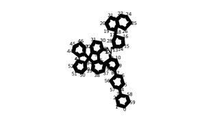 c1ccc(-c2ccc(-c3ccc(N(c4cccc(-c5cccc6ccccc56)c4)c4cccc5c4-c4ccccc4C5(c4ccccc4)c4ccccc4)cc3)cc2)cc1